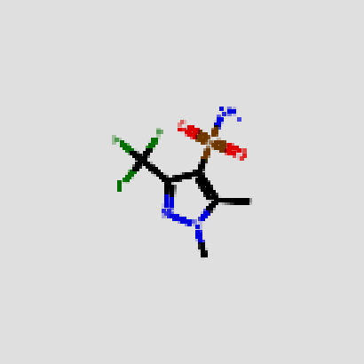 Cc1c(S(N)(=O)=O)c(C(F)(F)F)nn1C